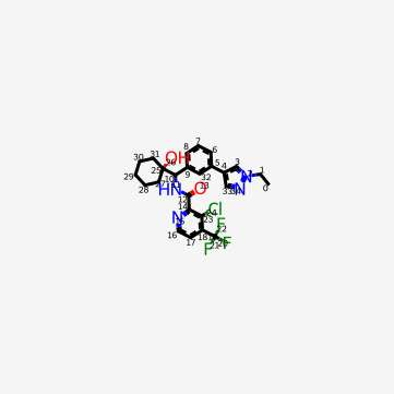 CCn1cc(-c2cccc(C(NC(=O)c3nccc(C(F)(F)F)c3Cl)C3(O)CCCCC3)c2)cn1